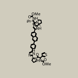 COC(=O)NC(C(=O)N1CCC[C@H]1c1ncc(-c2ccc(-c3ccc4cc(-c5cnc([C@]6(C)CCCN6C(=O)[C@@H](NC(=O)OC)C(C)C)[nH]5)ccc4c3)cc2)[nH]1)c1ccsc1